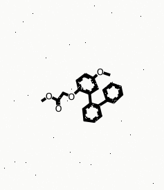 COC(=O)COc1ccc(OC)cc1-c1ccccc1-c1ccccc1